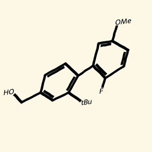 COc1ccc(F)c(-c2ccc(CO)cc2C(C)(C)C)c1